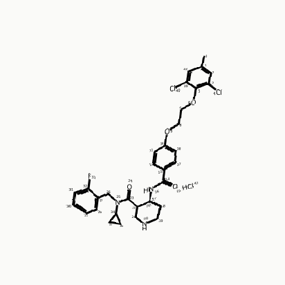 Cc1cc(Cl)c(OCCOc2ccc(C(=O)N[C@H]3CCNCC3C(=O)N(Cc3ccccc3F)C3CC3)cc2)c(Cl)c1.Cl